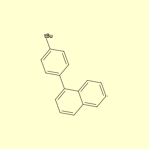 CC(C)(C)c1ccc(-c2cccc3c[c]ccc23)cc1